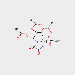 CC(C)C(=O)OC[C@@H]1[C@@H](OC(=O)C(C)C)[C@H](OC(=O)C(C)C)[C@H](OC(=O)C(C)C)[C@H]2NC(=O)C(=O)N12